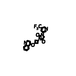 O=C1CN(c2cncc(C(F)(F)F)c2)C(=O)N1[C@H]1C[C@H](Oc2ccnc3ccccc23)C1